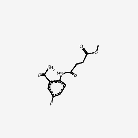 COC(=O)CCC(=O)Nc1ccc(F)cc1C(N)=O